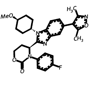 CO[C@H]1CC[C@H](n2c([C@@H]3CCOC(=O)N3c3ccc(F)cc3)nc3cc(-c4c(C)noc4C)ccc32)CC1